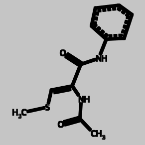 CSC=C(NC(C)=O)C(=O)Nc1ccccc1